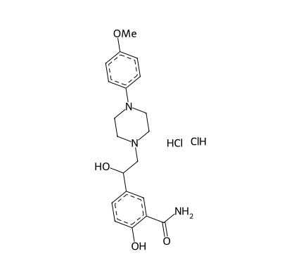 COc1ccc(N2CCN(CC(O)c3ccc(O)c(C(N)=O)c3)CC2)cc1.Cl.Cl